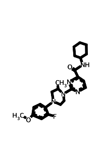 COc1ccc(N2CCN(c3nccc(C(=O)NC4CCCCC4)n3)C(C)C2)c(F)c1